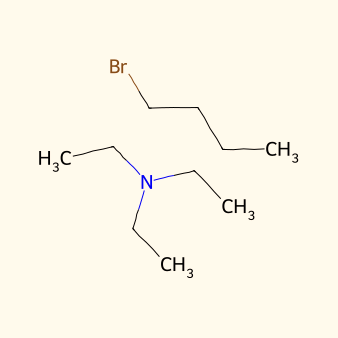 CCCCBr.CCN(CC)CC